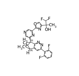 CC(O)(c1coc(-c2cncc([C@@]34CC[C@@H](c5cc(-c6c(F)cccc6F)nnc53)C4(C)C)n2)n1)C(F)F